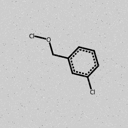 ClOCc1cccc(Cl)c1